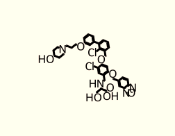 O=C(O)C(CO)NCc1cc(Cl)c(OCc2cccc(-c3cccc(OCCCN4CCC(O)CC4)c3)c2Cl)cc1OCc1ccc2nonc2c1